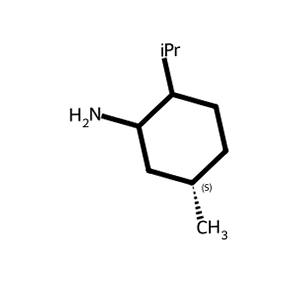 CC(C)C1CC[C@H](C)CC1N